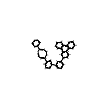 C1=N\C(c2ccccc2)=C/CC\C(c2cccc(-c3cccc(-c4ccc5c6ccccc6c6ccccc6c5c4)c3)c2)=C/1